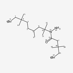 CC(CCC(C)(C)CC(C)(C)C)CC(C)(C)N(N)C(=O)CC(C)(C)CC(C)(C)C